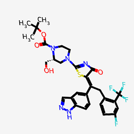 CC(C)(C)OC(=O)N1CCN(C2=NC(=O)C(=C(Cc3ccc(F)cc3C(F)(F)F)c3ccc4[nH]ncc4c3)S2)C[C@@H]1CO